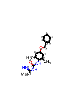 CNC(=N)NC(=O)Nc1c(C)cc(OCc2ccccc2)cc1C